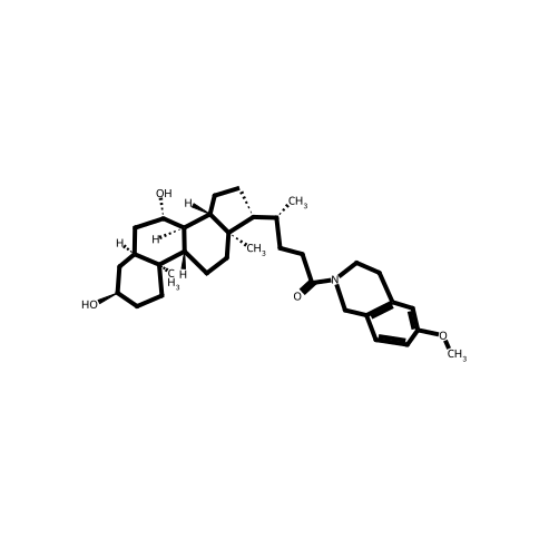 COc1ccc2c(c1)CCN(C(=O)CC[C@@H](C)[C@H]1CC[C@H]3[C@@H]4[C@@H](O)C[C@@H]5C[C@H](O)CC[C@]5(C)[C@H]4CC[C@]13C)C2